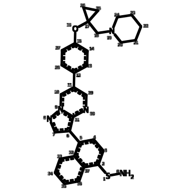 NSc1ccc(-c2cnn3cc(-c4ccc(OC5(CN6CCCCC6)CC5)cc4)cnc23)c2ccccc12